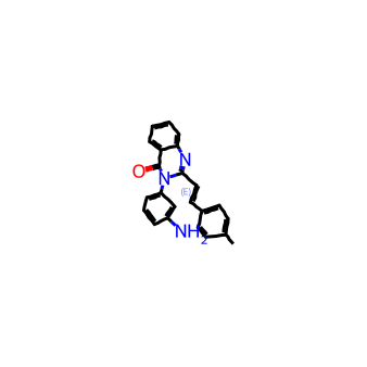 Cc1ccc(/C=C/c2nc3ccccc3c(=O)n2-c2cccc(N)c2)cc1